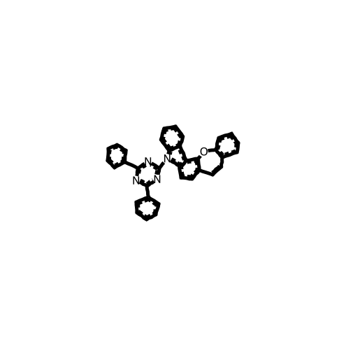 C1=Cc2ccc3c(c2Oc2ccccc21)c1ccccc1n3-c1nc(-c2ccccc2)nc(-c2ccccc2)n1